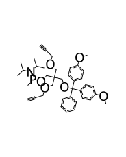 C#CCOCC(COCC#C)(COP(C)N(C(C)C)C(C)C)COC(c1ccccc1)(c1ccc(OC)cc1)c1ccc(OC)cc1